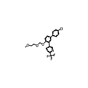 COCCOCOc1ccc(-c2ccc(Cl)cc2)cc1-c1ccc(C(F)(F)F)nc1